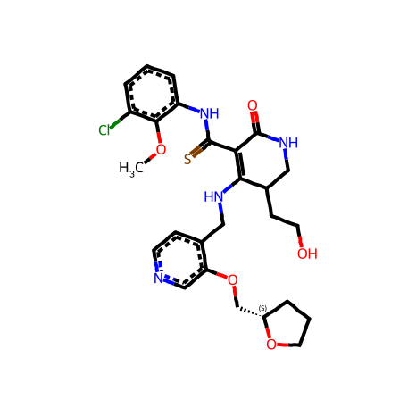 COc1c(Cl)cccc1NC(=S)C1=C(NCc2ccncc2OC[C@@H]2CCCO2)C(CCO)CNC1=O